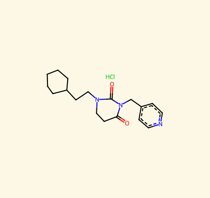 Cl.O=C1CCN(CCC2CCCCC2)C(=O)N1Cc1ccncc1